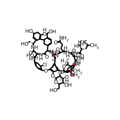 CN[C@H](CC(C)C)C(=O)N[C@H]1C(=O)N[C@@H](CCC(N)=O)C(=O)N[C@H]2C(=S)N[C@H]3C(=O)N[C@H](C(=O)N[C@H](CO)C4=CC(O)CC(O)=C4C4CC3=CC=C4CO)[C@H](O)C3=CC=C(Oc4cc2cc(c4O[C@H]2OC(CO)C(O)[C@H](O)C2O[C@H]2CC(C)(N)[C@H](O)C(C)O2)OC2=C(Cl)C=C(CC2)[C@H]1O)C(Cl)C3